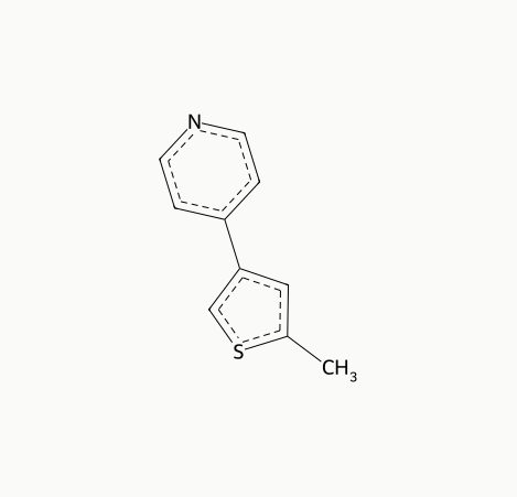 Cc1cc(-c2ccncc2)cs1